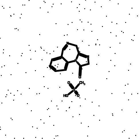 CS(=O)(=O)O.O=C1CN=C2CN=Cc3ccccc3N12